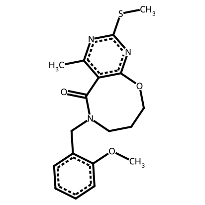 COc1ccccc1CN1CCCOc2nc(SC)nc(C)c2C1=O